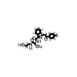 CC(C)(C)C(NC(=O)c1nn(CC(=O)c2ccc(F)cc2)c2ccccc12)C(=O)NCCO